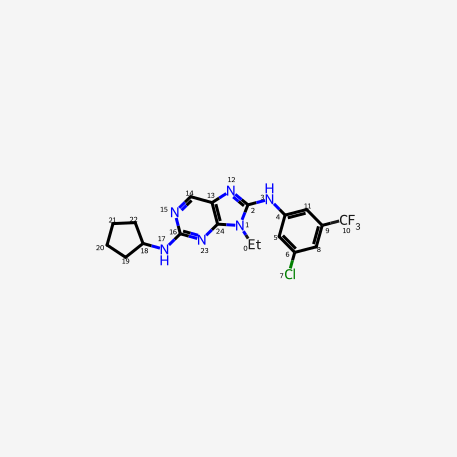 [CH2]Cn1c(Nc2cc(Cl)cc(C(F)(F)F)c2)nc2cnc(NC3CCCC3)nc21